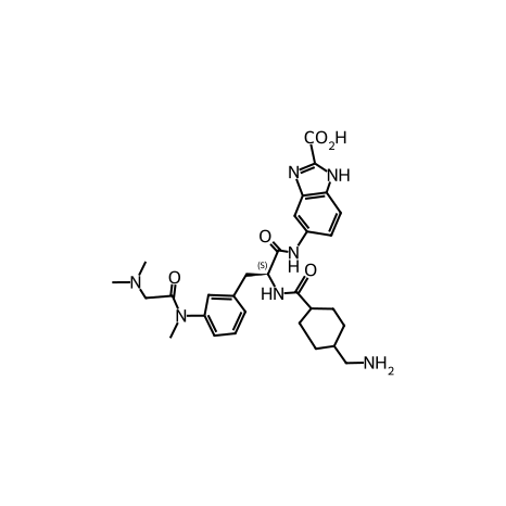 CN(C)CC(=O)N(C)c1cccc(C[C@H](NC(=O)C2CCC(CN)CC2)C(=O)Nc2ccc3[nH]c(C(=O)O)nc3c2)c1